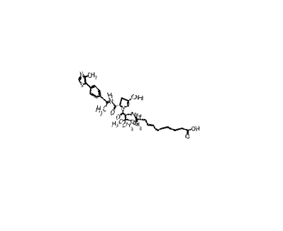 Cc1ncsc1-c1ccc(C(C)NC(=O)[C@@H]2C[C@@H](O)CN2C(=O)C(NC(=O)CCCCCCCC(=O)O)C(C)(C)C)cc1